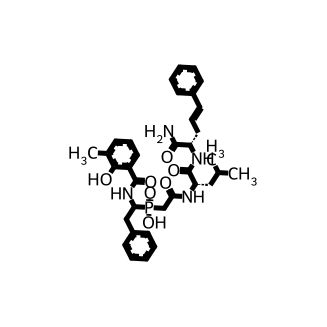 Cc1cccc(C(=O)NC(Cc2ccccc2)P(=O)(O)CC(=O)N[C@@H](CC(C)C)C(=O)N[C@@H](CC=Cc2ccccc2)C(N)=O)c1O